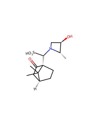 C[C@H]1[C@H](O)CN1C([C@@]12CC[C@@H](CC1=O)C2(C)C)S(=O)(=O)O